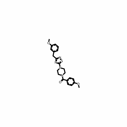 COc1ccc(C(=O)N2CCN(c3nc(Cc4cccc(OC)c4)ns3)CC2)cc1